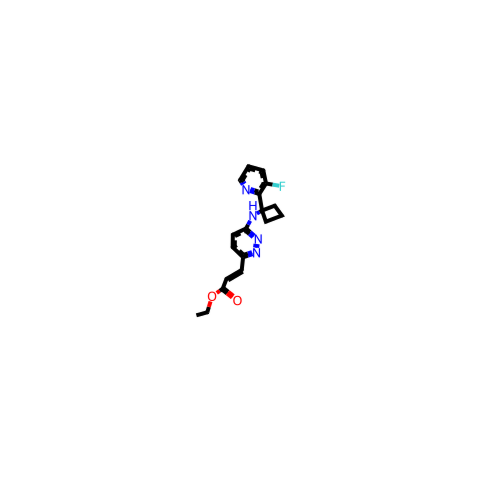 CCOC(=O)/C=C/c1ccc(NC2(c3ncccc3F)CCC2)nn1